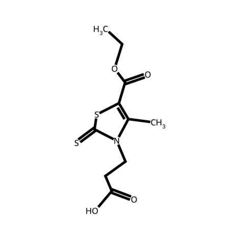 CCOC(=O)c1sc(=S)n(CCC(=O)O)c1C